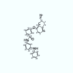 N#CC1CCc2nccc(Oc3cccc(C(=O)Nc4cccc(Nc5ccccc5)c4)c3)c2C1